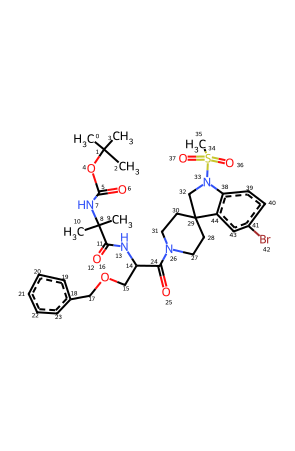 CC(C)(C)OC(=O)NC(C)(C)C(=O)NC(COCc1ccccc1)C(=O)N1CCC2(CC1)CN(S(C)(=O)=O)c1ccc(Br)cc12